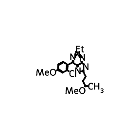 CCn1nc2nc(CCC(C)OC)nc-2c(-c2ccc(OC)cc2Cl)n1